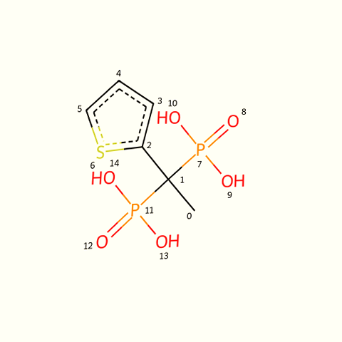 CC(c1cccs1)(P(=O)(O)O)P(=O)(O)O